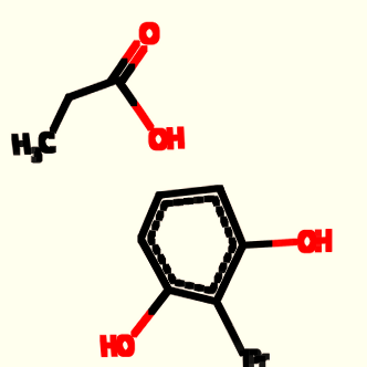 CC(C)c1c(O)cccc1O.CCC(=O)O